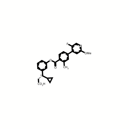 COc1cc(-c2ccc(C(=O)Oc3cccc([C@@H](CC(=O)O)C4CC4)c3)c(C)c2)c(F)cn1